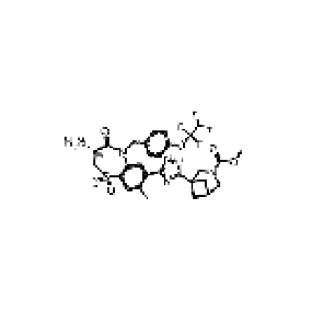 COC(=O)N1CC2CC(c3nc(-c4cc5c(cc4F)S(=O)(=O)C[C@H](N)C(=O)N5Cc4ccc(OC(F)(F)C(F)F)cc4)no3)(C2)C1